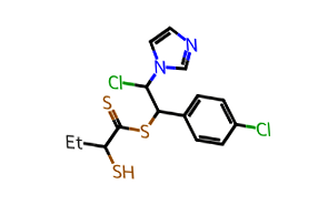 CCC(S)C(=S)SC(c1ccc(Cl)cc1)C(Cl)n1ccnc1